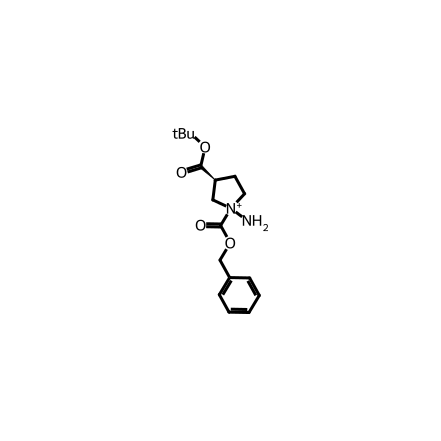 CC(C)(C)OC(=O)[C@H]1CC[N+](N)(C(=O)OCc2ccccc2)C1